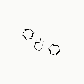 O=P1(Cl)[C@H](c2ccccc2)CC[C@H]1c1ccccc1